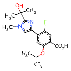 C[C@H](Oc1cc(-c2cn(C)c(C(C)(C)O)n2)c(F)cc1C(=O)O)C(F)(F)F